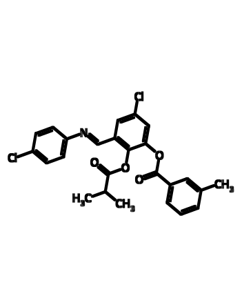 Cc1cccc(C(=O)Oc2cc(Cl)cc(C=Nc3ccc(Cl)cc3)c2OC(=O)C(C)C)c1